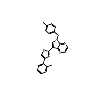 Cc1ccc(Sn2cc(-c3nc(-c4ccccc4C)cs3)c3nccnc32)cc1